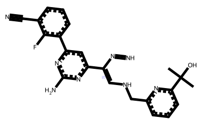 CC(C)(O)c1cccc(CN/C=C(\N=N)c2cc(-c3cccc(C#N)c3F)nc(N)n2)n1